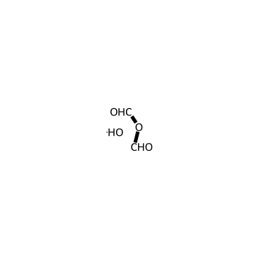 O=COC=O.[OH]